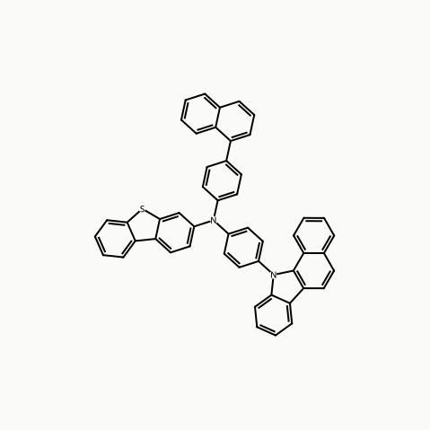 c1ccc2c(-c3ccc(N(c4ccc(-n5c6ccccc6c6ccc7ccccc7c65)cc4)c4ccc5c(c4)sc4ccccc45)cc3)cccc2c1